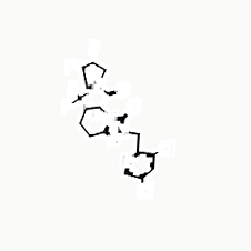 O=C([C@H]1[C@H](C(F)(F)F)CCc2nn(Cc3ncc(Cl)cc3Cl)c(=O)n21)N1C[C@@H](F)[C@@H](F)C1